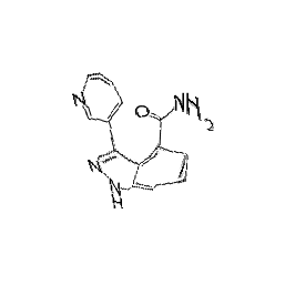 NC(=O)c1cccc2[nH]nc(-c3cccnc3)c12